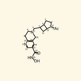 CC(=O)N1CCC2C(CN3CCc4ncc(C(=O)NO)cc4C3)CC21